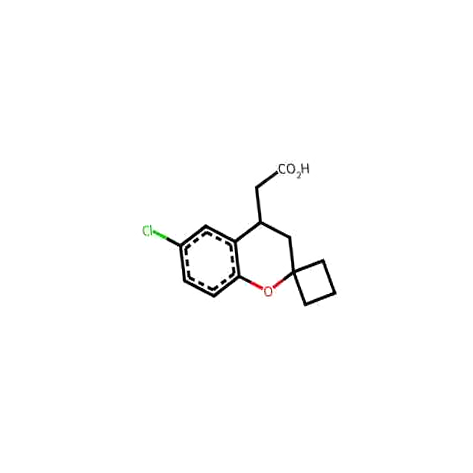 O=C(O)CC1CC2(CCC2)Oc2ccc(Cl)cc21